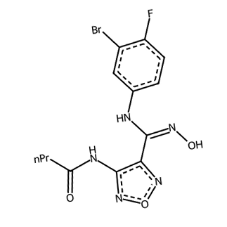 CCCC(=O)Nc1nonc1/C(=N\O)Nc1ccc(F)c(Br)c1